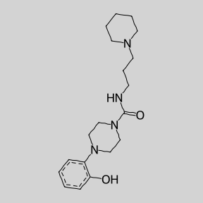 O=C(NCCCN1CCCCC1)N1CCN(c2ccccc2O)CC1